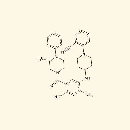 Cc1cc(C)c(C(=O)N2CCN(c3ccccn3)[C@@H](C)C2)cc1NC1CCN(c2ccccc2C#N)CC1